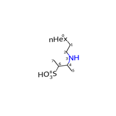 CCCCCCCCNC(C)C(C)S(=O)(=O)O